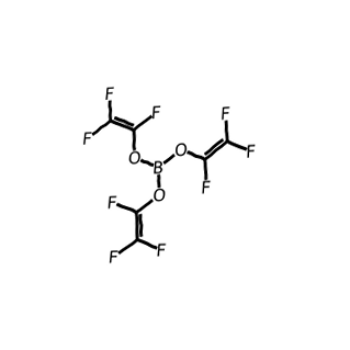 FC(F)=C(F)OB(OC(F)=C(F)F)OC(F)=C(F)F